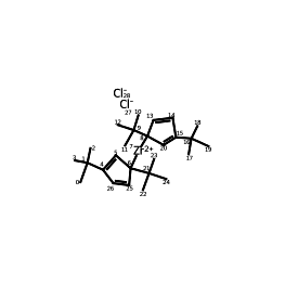 CC(C)(C)C1=C[C]([Zr+2][C]2(C(C)(C)C)C=CC(C(C)(C)C)=C2)(C(C)(C)C)C=C1.[Cl-].[Cl-]